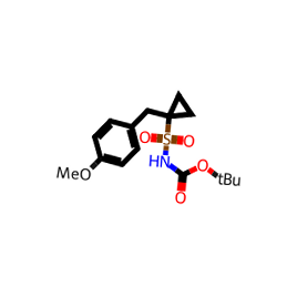 COc1ccc(CC2(S(=O)(=O)NC(=O)OC(C)(C)C)CC2)cc1